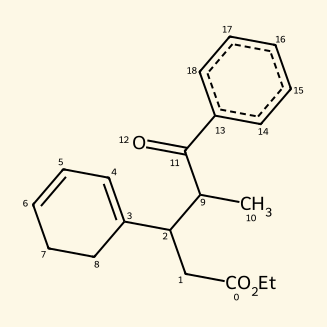 CCOC(=O)CC(C1=CC=CCC1)C(C)C(=O)c1ccccc1